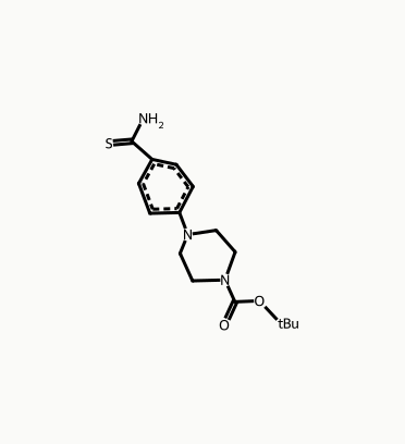 CC(C)(C)OC(=O)N1CCN(c2ccc(C(N)=S)cc2)CC1